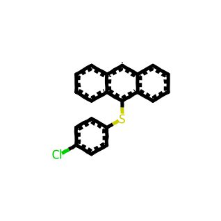 Clc1ccc(Sc2c3ccccc3[c]c3ccccc23)cc1